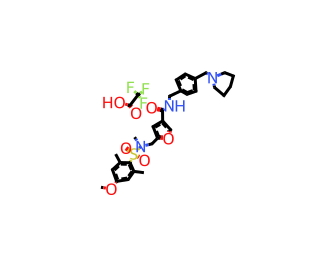 COc1cc(C)c(S(=O)(=O)N(C)Cc2cc(C(=O)NCc3ccc(CN4CCCCC4)cc3)co2)c(C)c1.O=C(O)C(F)(F)F